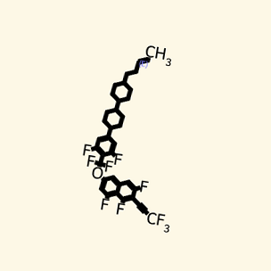 C/C=C/CCC1CCC(C2CCC(c3cc(F)c(C(F)(F)Oc4cc(F)c5c(F)c(C#CC(F)(F)F)c(F)cc5c4)c(F)c3)CC2)CC1